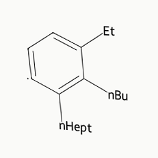 CCCCCCCc1[c]ccc(CC)c1CCCC